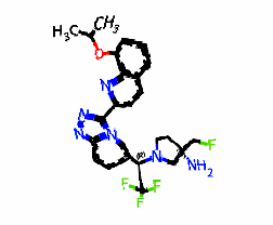 CC(C)Oc1cccc2ccc(-c3nnc4ccc([C@@H](N5CC[C@@](N)(CF)C5)C(F)(F)F)cn34)nc12